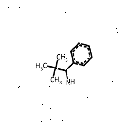 CC(C)(C)C([NH])c1ccccc1